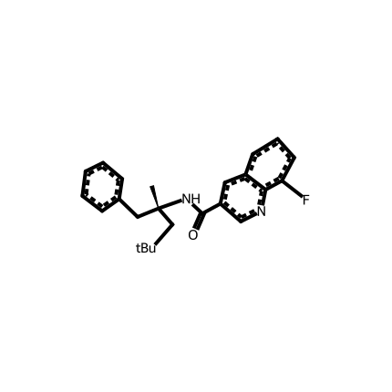 CC(C)(C)C[C@](C)(Cc1ccccc1)NC(=O)c1cnc2c(F)cccc2c1